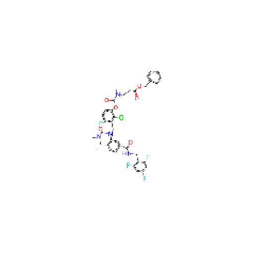 C[C@H]1c2ccc(C(=O)NCc3c(F)cc(F)cc3F)cc2N(Cc2c(F)ccc(OC(=O)N(C)CCC(=O)OCc3ccccc3)c2Cl)C(=O)N1C